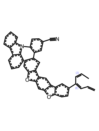 C=C/C=C(\C=C/C)c1ccc2oc3cc4oc5ccc(-c6cc(C#N)ccc6-n6c7ccccc7c7ccccc76)cc5c4cc3c2c1